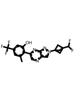 Cc1cc(C(F)(F)F)cc(O)c1-c1cnc2cn(C34CC(C(F)F)(C3)C4)nc2n1